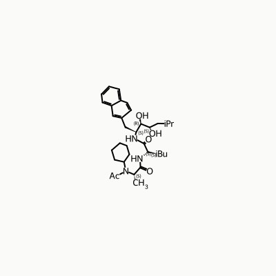 CC[C@H](C)[C@H](NC(=O)[C@H](C)N(C(C)=O)C1CCCCC1)C(=O)N[C@@H](Cc1ccc2ccccc2c1)[C@@H](O)[C@@H](O)CC(C)C